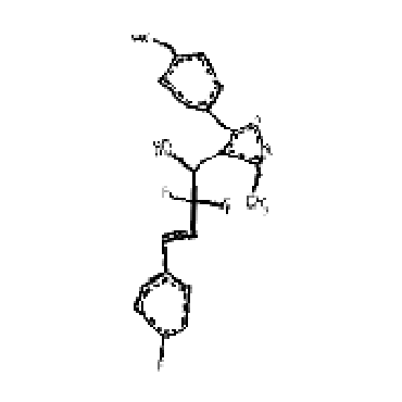 Cc1noc(-c2ccc(Br)cc2)c1C(O)C(F)(F)C=Cc1ccc(F)cc1